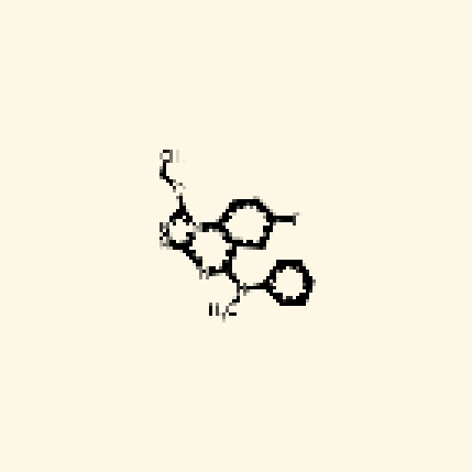 CCOc1nnc2nc(N(C)c3ccccc3)c3cc(F)ccc3n12